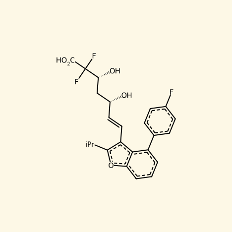 CC(C)c1oc2cccc(-c3ccc(F)cc3)c2c1C=C[C@@H](O)C[C@@H](O)C(F)(F)C(=O)O